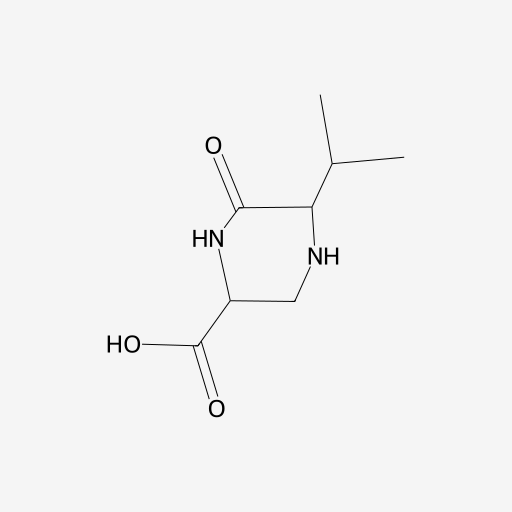 CC(C)C1NCC(C(=O)O)NC1=O